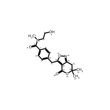 CN(CCO)C(=O)c1ccc(Cc2onc3c2C(=O)OC(C)(C)C3)cc1